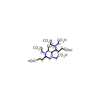 CCCCCCCCCCCCC(CN(CC(=O)O)CC(CCCCCCCCCCCC)N(CC(=O)O)CC(=O)O)N(CC(=O)O)CC(=O)O